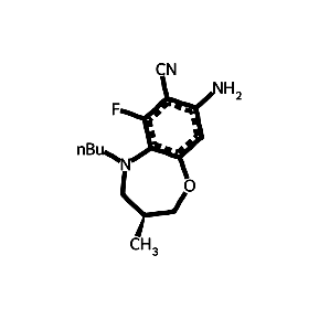 CCCCN1C[C@H](C)COc2cc(N)c(C#N)c(F)c21